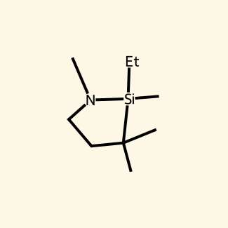 CC[Si]1(C)N(C)CCC1(C)C